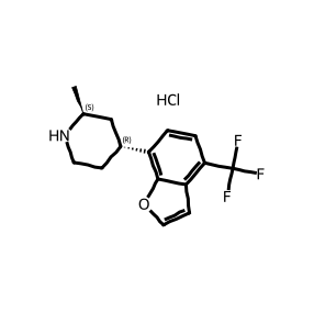 C[C@H]1C[C@H](c2ccc(C(F)(F)F)c3ccoc23)CCN1.Cl